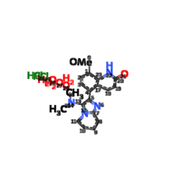 COc1ccc(-c2nc3ccccn3c2N(C)C)c2ccc(=O)[nH]c12.Cl.Cl.O.O.O